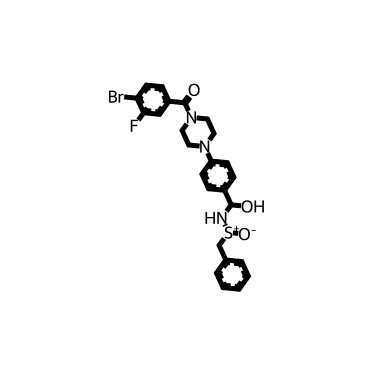 O=C(c1ccc(Br)c(F)c1)N1CCN(c2ccc(C(O)N[S+]([O-])Cc3ccccc3)cc2)CC1